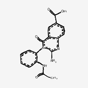 CC(=O)Nc1ccccc1-n1c(N)nc2ccc(C(=O)O)cc2c1=O